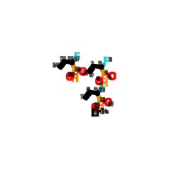 C=CC(F)[PH](=O)[O-].C=CC(F)[PH](=O)[O-].C=CC(F)[PH](=O)[O-].[Er+3]